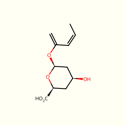 C=C(/C=C\C)O[C@H]1C[C@@H](O)C[C@@H](C(=O)O)O1